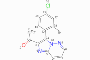 CCCC(=O)c1nc2cccnn2c1-c1ccc(Cl)cc1C